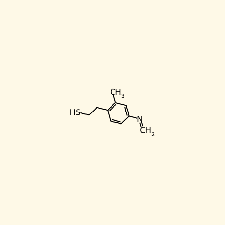 C=Nc1ccc(CCS)c(C)c1